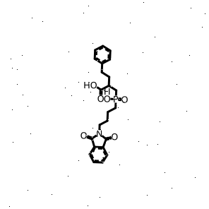 O=C(O)C(CCc1ccccc1)CP(=O)(O)CCCCN1C(=O)c2ccccc2C1=O